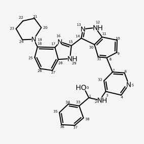 OC(Nc1cncc(-c2ccc3[nH]nc(-c4nc5c(N6CCCCC6)cccc5[nH]4)c3c2)c1)c1ccccc1